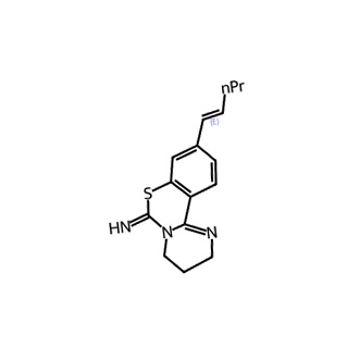 CCC/C=C/c1ccc2c(c1)SC(=N)N1CCCN=C21